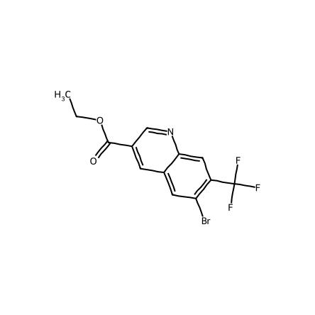 CCOC(=O)c1cnc2cc(C(F)(F)F)c(Br)cc2c1